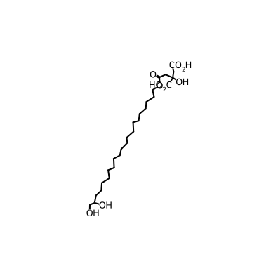 O=C(O)CC(O)(CC(=O)OCCCCCCCCCCCCCCCCCCCC(O)CO)C(=O)O